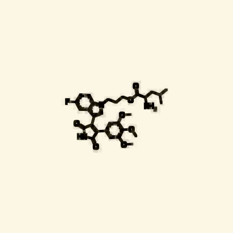 COc1cc(C2=C(c3cn(CCCOC(=O)C(N)CC(C)C)c4ccc(F)cc34)C(=O)NC2=O)cc(OC)c1OC